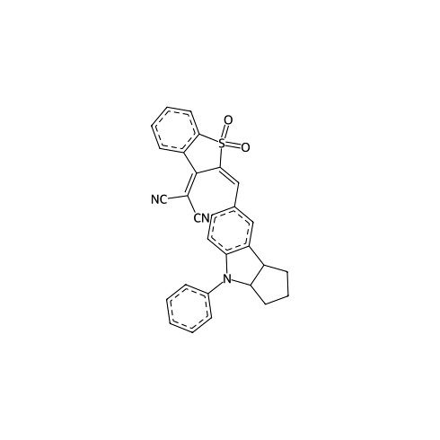 N#CC(C#N)=C1/C(=C\c2ccc3c(c2)C2CCCC2N3c2ccccc2)S(=O)(=O)c2ccccc21